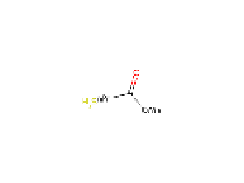 CCCC(=O)OC.S